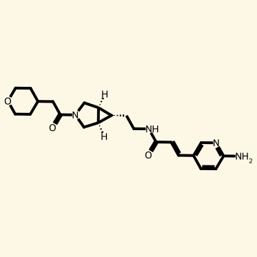 Nc1ccc(/C=C/C(=O)NCC[C@@H]2[C@H]3CN(C(=O)CC4CCOCC4)C[C@@H]23)cn1